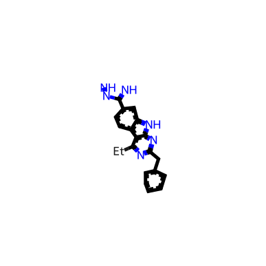 CCc1nc(Cc2ccccc2)nc2[nH]c3cc(C(=N)N=N)ccc3c12